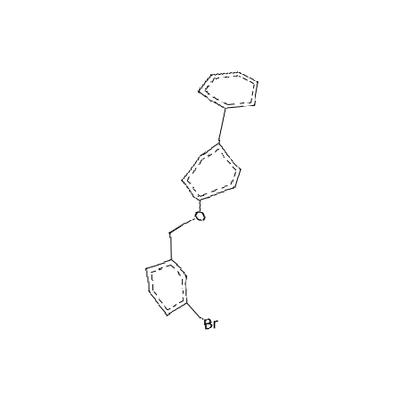 Brc1cccc(COc2ccc(-c3ccccc3)cc2)c1